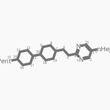 CCCCCCCc1cnc(CCC2CCC(C3CCC(CCCCC)CC3)CC2)nc1